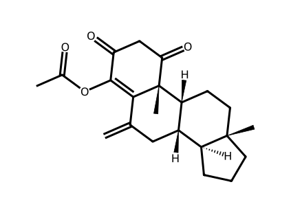 C=C1C[C@@H]2[C@@H](CC[C@]3(C)CCC[C@@H]23)[C@@]2(C)C(=O)CC(=O)C(OC(C)=O)=C12